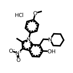 COc1ccc(-n2c(C)c([N+](=O)[O-])c3ccc(O)c(CN4CCCCC4)c32)cc1.Cl